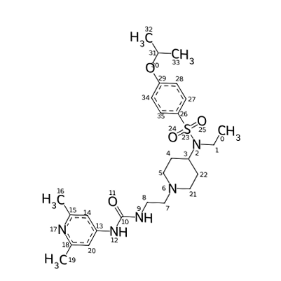 CCN(C1CCN(CCNC(=O)Nc2cc(C)nc(C)c2)CC1)S(=O)(=O)c1ccc(OC(C)C)cc1